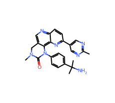 Cc1ncc(-c2ccc3ncc4c(c3n2)N(c2ccc(C(C)(C)N)cc2)C(=O)N(C)C4)cn1